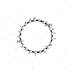 C1CCCCNCCCCOCCCCCCNCCC1